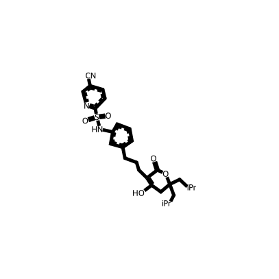 CC(C)CC1(CC(C)C)CC(O)=C(CCCc2cccc(NS(=O)(=O)c3ccc(C#N)cn3)c2)C(=O)O1